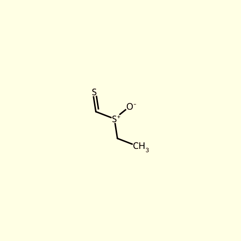 CC[S+]([O-])C=S